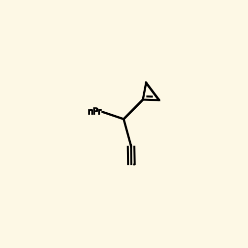 [C]#CC(CCC)C1=CC1